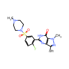 CCCc1nn(C)c2c(=O)[nH]c(-c3cc(S(=O)(=O)N4CCN(C)CC4)ccc3F)nc12